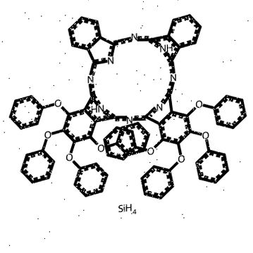 [SiH4].c1ccc(Oc2c(Oc3ccccc3)c(Oc3ccccc3)c3c(c2Oc2ccccc2)-c2nc-3nc3[nH]c(nc4nc(nc5[nH]c(n2)c2ccccc52)-c2ccccc2-4)c2c(Oc4ccccc4)c(Oc4ccccc4)c(Oc4ccccc4)c(Oc4ccccc4)c32)cc1